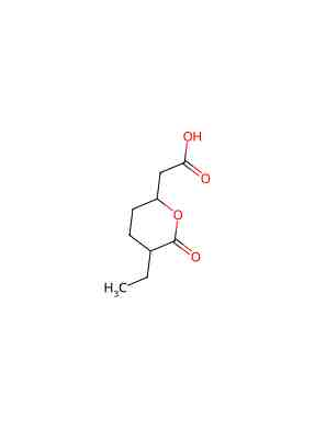 CCC1CCC(CC(=O)O)OC1=O